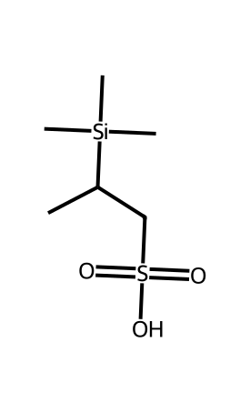 CC(CS(=O)(=O)O)[Si](C)(C)C